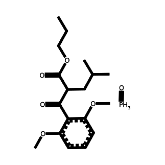 CCCOC(=O)C(CC(C)C)C(=O)c1c(OC)cccc1OC.O=[PH3]